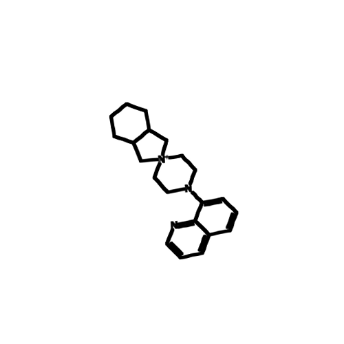 c1cnc2c(N3CC[N+]4(CC3)CC3CCCCC3C4)cccc2c1